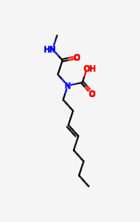 CCCCC=CCCN(CC(=O)NC)C(=O)O